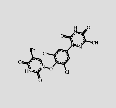 CC(C)c1cn(Oc2c(Cl)cc(-n3nc(C#N)c(=O)[nH]c3=O)cc2Cl)c(=O)[nH]c1=O